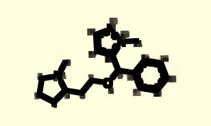 CN1CCCC1CCOC(c1ccccc1)c1ccnn1C